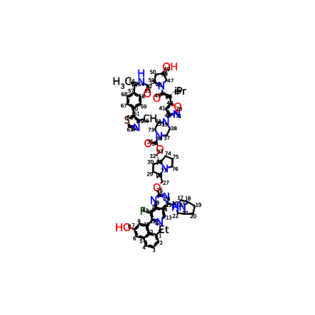 CCc1cccc2cc(O)cc(-c3ncc4c(N5CC6CCC(C5)N6)nc(OC[C@H]5CC[C@@]6(COC(=O)N7CCN(c8cc([C@H](C(=O)N9C[C@H](O)C[C@H]9C(=O)N[C@@H](C)c9ccc(-c%10scnc%10C)cc9)C(C)C)on8)CC7)CCCN56)nc4c3F)c12